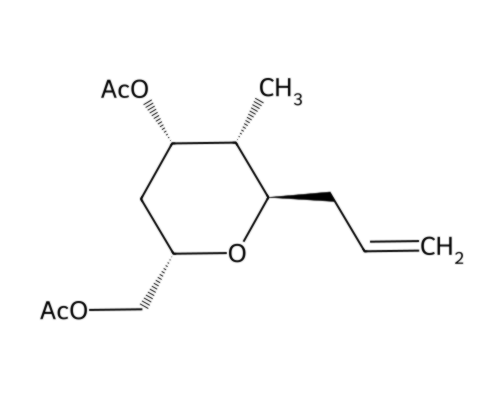 C=CC[C@H]1O[C@H](COC(C)=O)C[C@H](OC(C)=O)[C@@H]1C